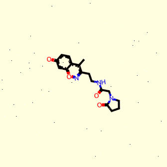 Cc1c2ccc(=O)cc-2onc1CCNC(=O)CN1CCCC1=O